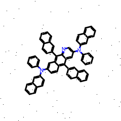 c1ccc(N(c2ccc3ccccc3c2)c2ccc3c(-c4ccc5ccccc5c4)c4cc(N(c5ccccc5)c5ccc6ccccc6c5)cnc4c(-c4ccc5ccccc5c4)c3c2)cc1